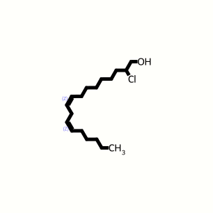 CCCCC/C=C\C/C=C\CCCCCCC(Cl)CO